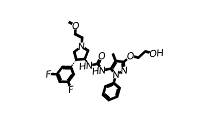 COCCN1C[C@@H](NC(=O)Nc2c(C)c(OCCO)nn2-c2ccccc2)[C@H](c2cc(F)cc(F)c2)C1